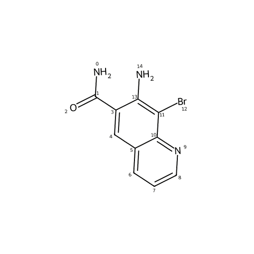 NC(=O)c1cc2cccnc2c(Br)c1N